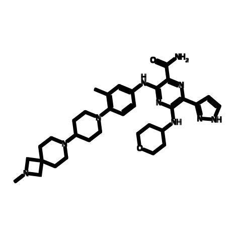 Cc1cc(Nc2nc(NC3CCOCC3)c(-c3cc[nH]n3)nc2C(N)=O)ccc1N1CCC(N2CCC3(CC2)CN(C)C3)CC1